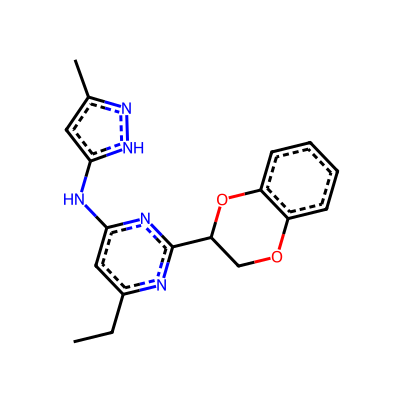 CCc1cc(Nc2cc(C)n[nH]2)nc(C2COc3ccccc3O2)n1